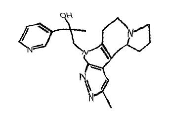 Cc1cc2c3c(n(CC(C)(O)c4cccnc4)c2nn1)CCN1CCCC31